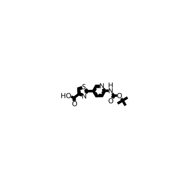 CC(C)(C)OC(=O)Nc1ccc(-c2nc(C(=O)O)cs2)cn1